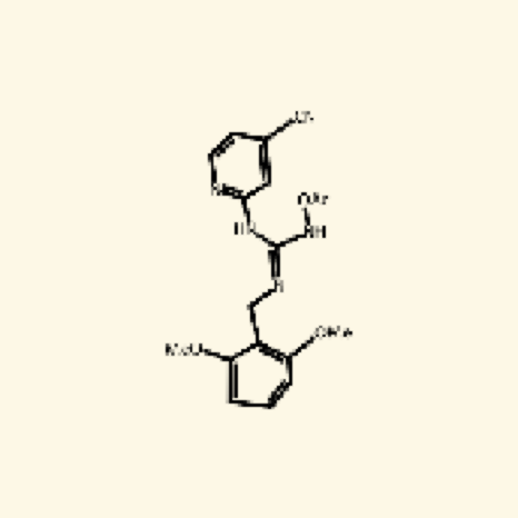 COc1cccc(OC)c1CN=C(NOC(C)=O)Nc1cc(C#N)ccn1